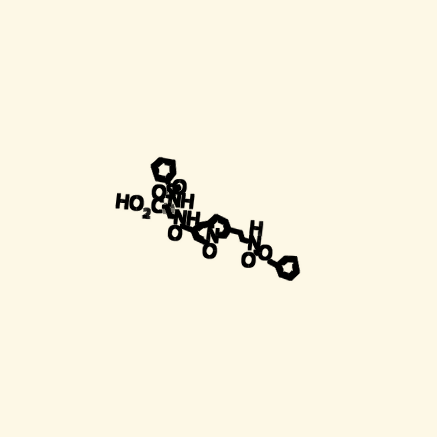 O=C(NCCc1ccc2cc(C(=O)NC[C@H](NS(=O)(=O)c3ccccc3)C(=O)O)cc(=O)n2c1)OCc1ccccc1